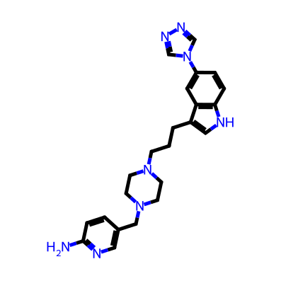 Nc1ccc(CN2CCN(CCCc3c[nH]c4ccc(-n5cnnc5)cc34)CC2)cn1